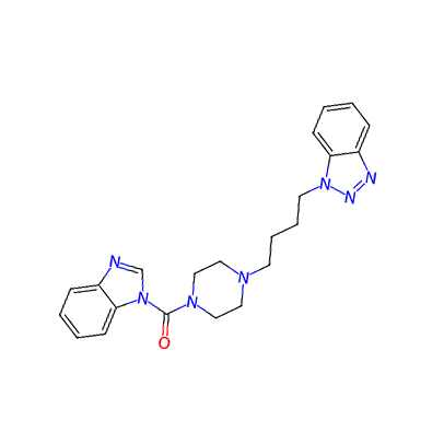 O=C(N1CCN(CCCCn2nnc3ccccc32)CC1)n1cnc2ccccc21